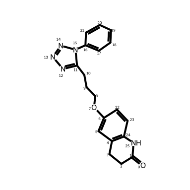 O=C1CCc2cc(OCCCc3nnnn3-c3ccccc3)ccc2N1